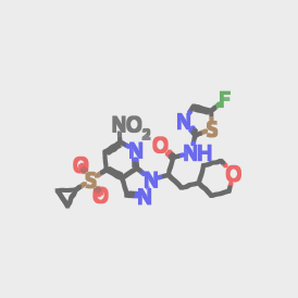 O=C(Nc1ncc(F)s1)C(CC1CCOCC1)n1ncc2c(S(=O)(=O)C3CC3)cc([N+](=O)[O-])nc21